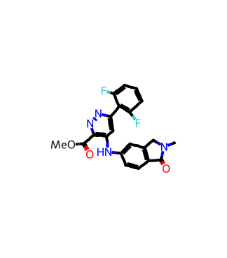 COC(=O)c1nnc(-c2c(F)cccc2F)cc1Nc1ccc2c(c1)CN(C)C2=O